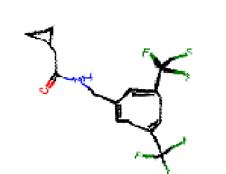 O=C(NCc1cc(C(F)(F)F)cc(C(F)(F)F)c1)C1CC1